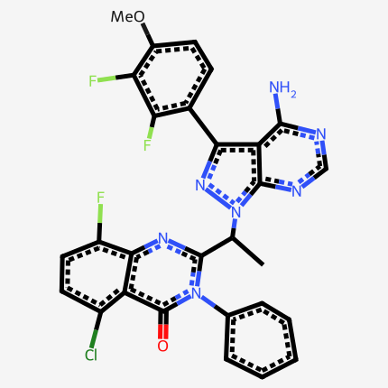 COc1ccc(-c2nn(C(C)c3nc4c(F)ccc(Cl)c4c(=O)n3-c3ccccc3)c3ncnc(N)c23)c(F)c1F